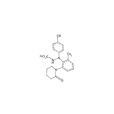 Cc1cccc(N2CCCCC2=O)c1N(NC(=O)O)c1ccc(C#N)cc1